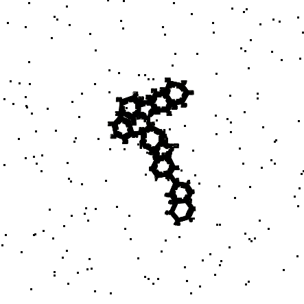 C1=Cc2ccc(-c3ccc4c(c3)sc3nc(-n5c6ccccc6c6cc7ccccc7cc65)c(-c5ccccc5)nc34)cc2CC1